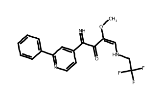 CO/C(=C/NCC(F)(F)F)C(=O)C(=N)c1ccnc(-c2ccccc2)c1